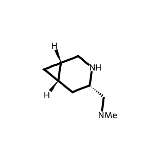 CNC[C@@H]1C[C@@H]2C[C@@H]2CN1